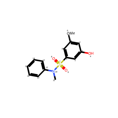 COc1cc(O)cc(S(=O)(=O)N(C)c2ccccc2)c1